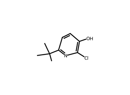 CC(C)(C)c1ccc(O)c(Cl)n1